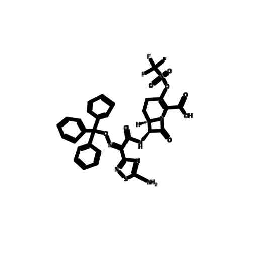 Nc1nc(/C(=N/OC(c2ccccc2)(c2ccccc2)c2ccccc2)C(=O)N[C@@H]2C(=O)N3C(C(=O)O)=C(OS(=O)(=O)C(F)(F)F)CC[C@H]23)ns1